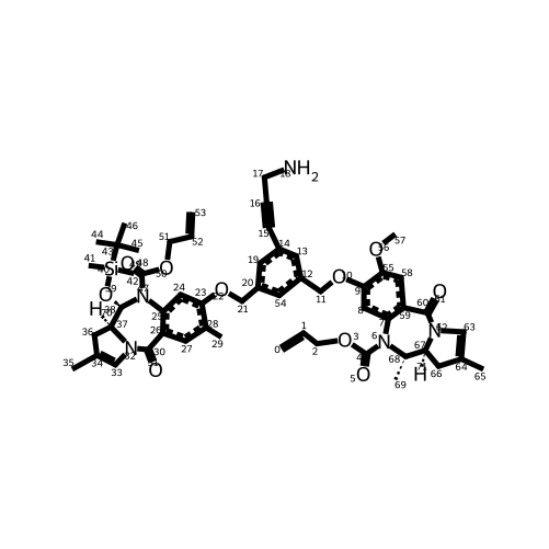 C=CCOC(=O)N1c2cc(OCc3cc(C#CCN)cc(COc4cc5c(cc4C)C(=O)N4C=C(C)C[C@H]4[C@H](O[Si](C)(C)C(C)(C)C)N5C(=O)OCC=C)c3)c(OC)cc2C(=O)N2C=C(C)C[C@H]2[C@@H]1C